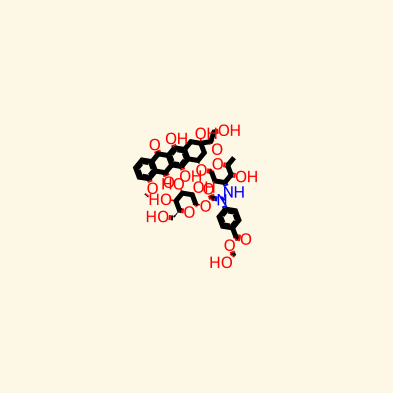 COc1cccc2c1C(=O)c1c(O)c3c(c(O)c1C2=O)C[C@@](O)(C(=O)CO)C[C@@H]3OC1CC(NN(C(=O)O[C@@H]2O[C@H](CO)[C@H](O)[C@H](O)[C@H]2O)c2ccc(C(=O)OCO)cc2)C(O)C(C)O1